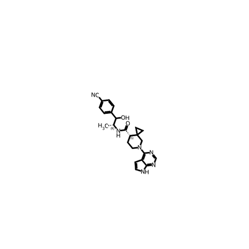 C[C@@H](NC(=O)[C@H]1CCN(c2ncnc3[nH]ccc23)CC12CC2)C(O)c1ccc(C#N)cc1